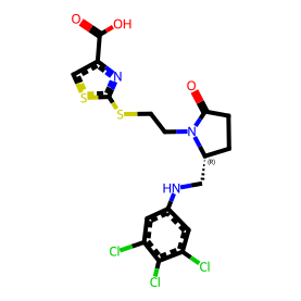 O=C(O)c1csc(SCCN2C(=O)CC[C@@H]2CNc2cc(Cl)c(Cl)c(Cl)c2)n1